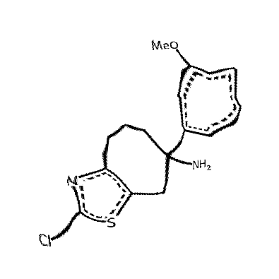 COc1cccc(C2(N)CCc3nc(Cl)sc3C2)c1